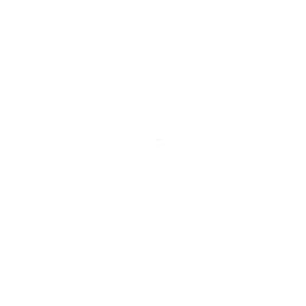 C=CC(=O)c1ccsc1C